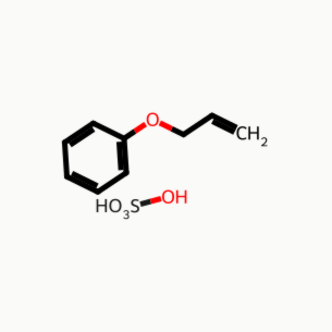 C=CCOc1ccccc1.O=S(=O)(O)O